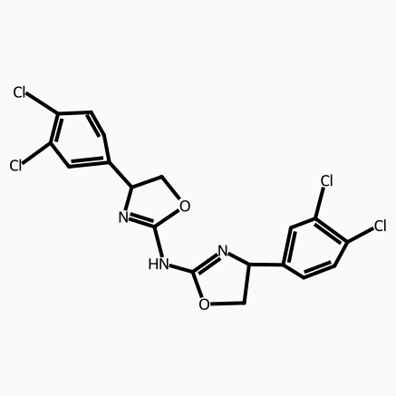 Clc1ccc(C2COC(NC3=NC(c4ccc(Cl)c(Cl)c4)CO3)=N2)cc1Cl